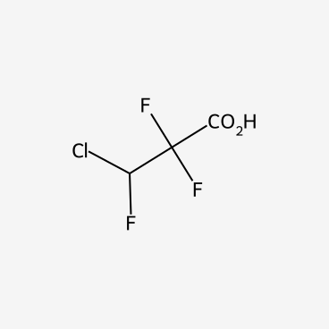 O=C(O)C(F)(F)C(F)Cl